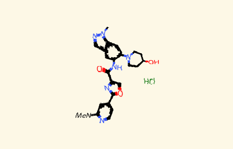 CNc1cc(-c2nc(C(=O)Nc3cc4cnn(C)c4cc3N3CCC(O)CC3)co2)ccn1.Cl